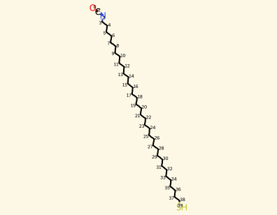 O=C=NCCCCCCCCCCCCCCCCCCCCCCCCCCCCCCCCCCCCS